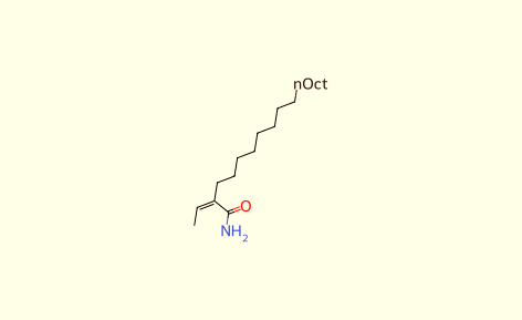 CC=C(CCCCCCCCCCCCCCCC)C(N)=O